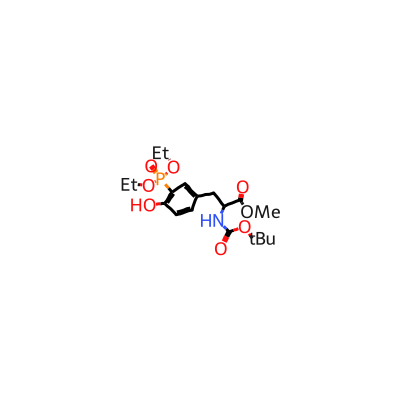 CCOP(=O)(OCC)c1cc(CC(NC(=O)OC(C)(C)C)C(=O)OC)ccc1O